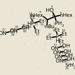 CCCCCCC(CCCC)C(O)(P)CCCCCC.CC[PH](CC)(CC)CC.CC[PH](CC)(CC)CC.O=NO.O=NO.O=NO.O=NO.O=NO.O=NO.[SrH2]